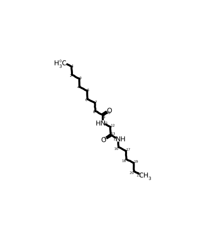 CCCCCCCCCC(=O)NCC(=O)NCCCCCC